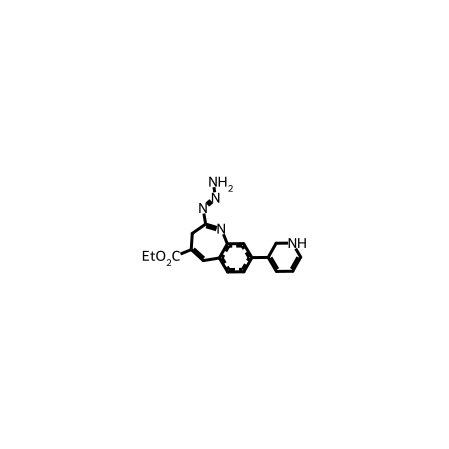 CCOC(=O)C1=Cc2ccc(C3=CC=CNC3)cc2N=C(N=NN)C1